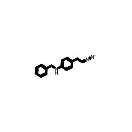 [N-]=[N+]=CCc1ccc(NCc2ccccc2)cc1